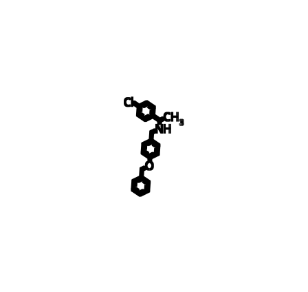 CC(NCc1ccc(OCc2ccccc2)cc1)c1ccc(Cl)cc1